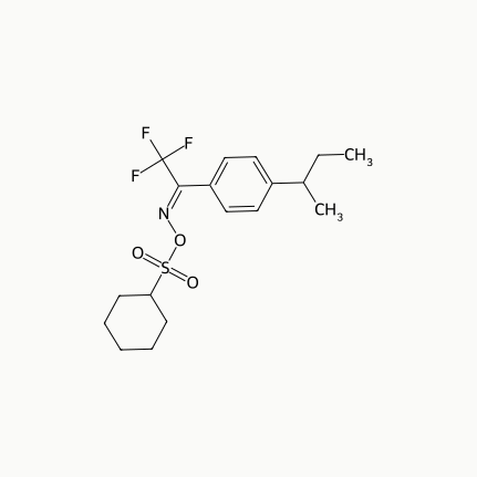 CCC(C)c1ccc(/C(=N\OS(=O)(=O)C2CCCCC2)C(F)(F)F)cc1